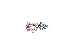 C=CC(=O)OCC(F)(F)OC(F)(F)OC(F)(F)OC(F)(F)COc1ccc2cc(-c3ccc(CC)nc3CC)n(CC)c2c1